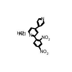 Cl.Cl.O=[N+]([O-])c1ccc(-c2cc(-c3ccncc3)ccn2)c([N+](=O)[O-])c1